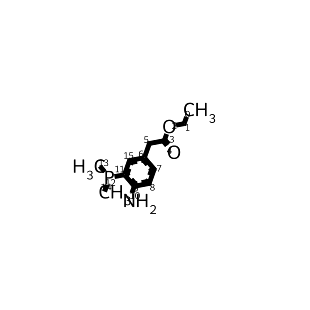 CCOC(=O)Cc1ccc(N)c(P(C)C)c1